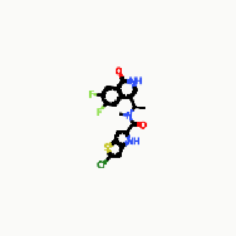 C[C@H](c1c[nH]c(=O)c2cc(F)c(F)cc12)N(C)C(=O)c1cc2sc(Cl)cc2[nH]1